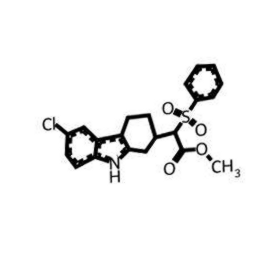 COC(=O)C(C1CCc2c([nH]c3ccc(Cl)cc23)C1)S(=O)(=O)c1ccccc1